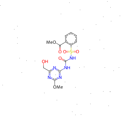 COC(=O)c1ccccc1S(=O)(=O)NC(=O)Nc1nc(CO)nc(OC)n1